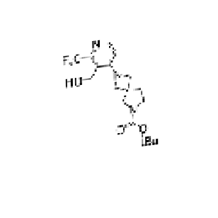 CC(C)(C)OC(=O)N1CCC2(C1)CN(c1ccnc(C(F)(F)F)c1CO)C2